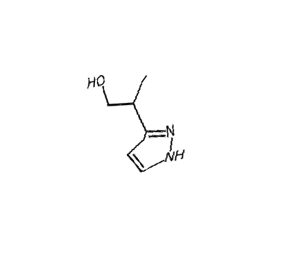 CC(CO)c1cc[nH]n1